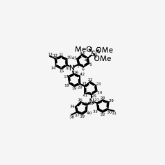 CO[Si](OC)(OC)c1ccc(N(c2ccc(C)cc2)c2cccc(-c3cccc(N(c4ccc(C)cc4)c4ccc(C)cc4)c3)c2)cc1